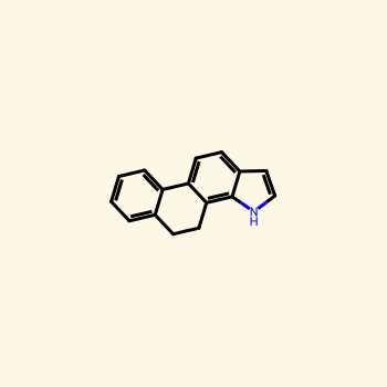 c1ccc2c(c1)CCc1c-2ccc2cc[nH]c12